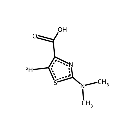 [2H]c1sc(N(C)C)nc1C(=O)O